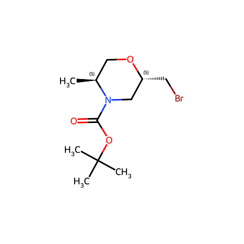 C[C@H]1CO[C@H](CBr)CN1C(=O)OC(C)(C)C